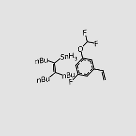 C=Cc1cc(F)cc(OC(F)F)c1.CCCC[C]([SnH3])=C(CCCC)CCCC